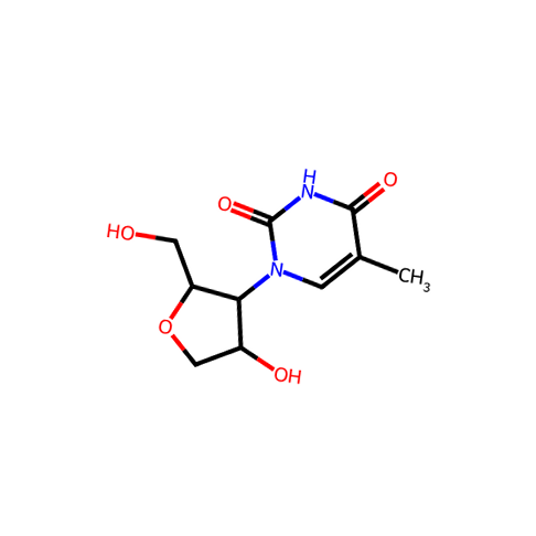 Cc1cn(C2C(O)COC2CO)c(=O)[nH]c1=O